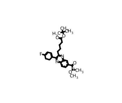 CON(C)C(=O)c1ccc2nc(C3=CC=C(F)CC3)c(CCCCC(=O)OC(C)(C)C)nc2c1